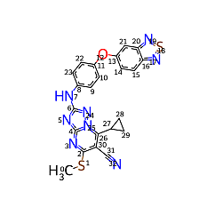 CSc1nc2nc(Nc3ccc(Oc4ccc5nsnc5c4)cc3)nn2c(C2CC2)c1C#N